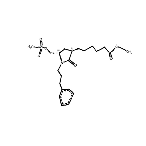 COC(=O)CCCCC[C@@H]1C[C@@H](COS(C)(=O)=O)N(CCCc2ccccc2)C1=O